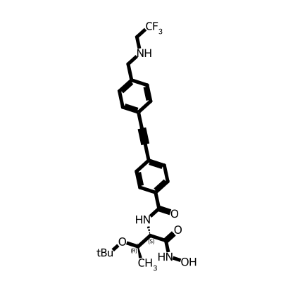 C[C@@H](OC(C)(C)C)[C@H](NC(=O)c1ccc(C#Cc2ccc(CNCC(F)(F)F)cc2)cc1)C(=O)NO